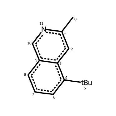 Cc1cc2c(C(C)(C)C)cccc2cn1